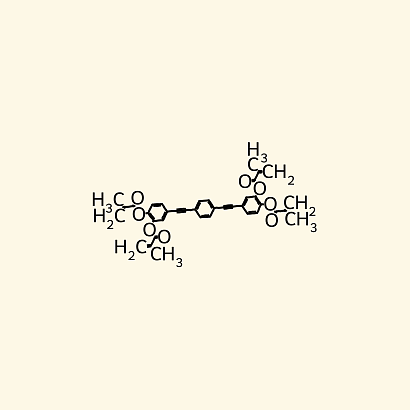 C=C(C)C(=O)Oc1ccc(C#Cc2ccc(C#Cc3ccc(OC(=O)C(=C)C)c(OC(=O)C(=C)C)c3)cc2)cc1OC(=O)C(=C)C